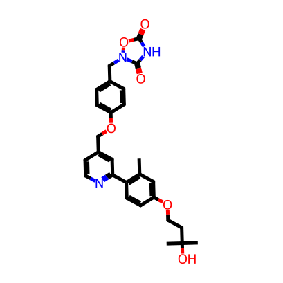 Cc1cc(OCCC(C)(C)O)ccc1-c1cc(COc2ccc(Cn3oc(=O)[nH]c3=O)cc2)ccn1